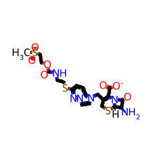 CS(=O)(=O)CCOC(=O)NCCSc1ccc2n(CC3=C(C(=O)[O-])N4C(=O)[C@@H](N)[C@H]4SC3)cc[n+]2n1